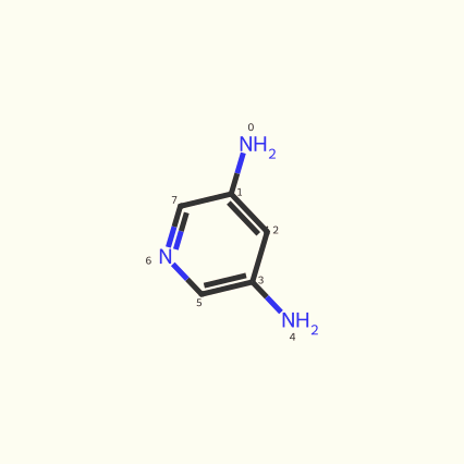 Nc1[c]c(N)cnc1